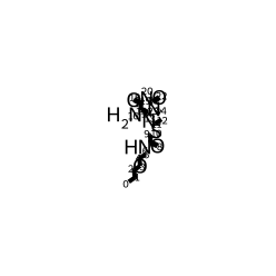 CCCOCCNC(=O)CS/C(C)=N/c1c(N)c(=O)n(C)c(=O)n1C